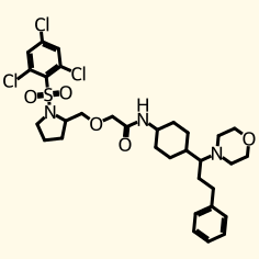 O=C(COCC1CCCN1S(=O)(=O)c1c(Cl)cc(Cl)cc1Cl)NC1CCC(C(CCc2ccccc2)N2CCOCC2)CC1